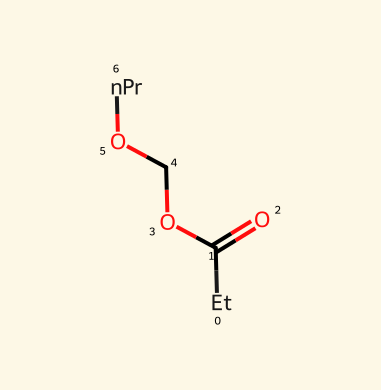 [CH2]CC(=O)OCOCCC